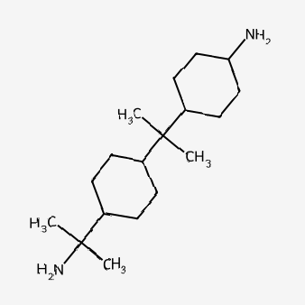 CC(C)(N)C1CCC(C(C)(C)C2CCC(N)CC2)CC1